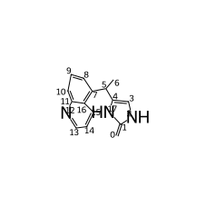 C=C1NC=C(C(C)c2cccc3ncccc23)N1